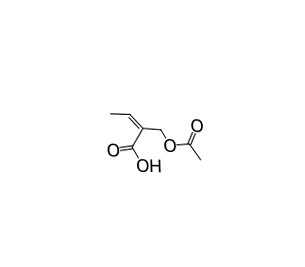 CC=C(COC(C)=O)C(=O)O